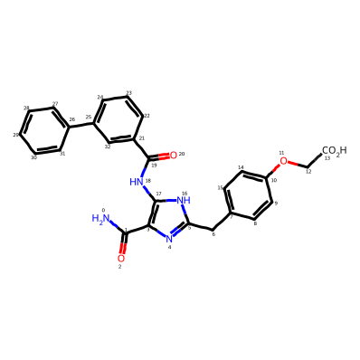 NC(=O)c1nc(Cc2ccc(OCC(=O)O)cc2)[nH]c1NC(=O)c1cccc(-c2ccccc2)c1